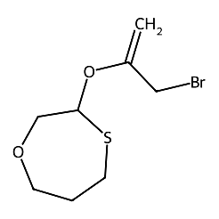 C=C(CBr)OC1COCCCS1